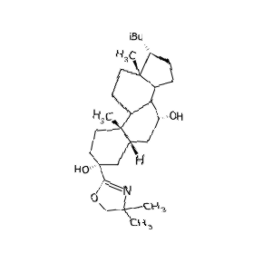 CC[C@@H](C)[C@H]1CCC2C3C(CC[C@@]21C)[C@@]1(C)CC[C@](O)(C2=NC(C)(C)CO2)C[C@H]1C[C@H]3O